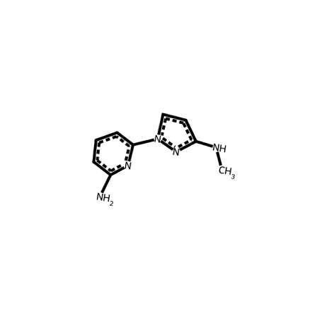 CNc1ccn(-c2cccc(N)n2)n1